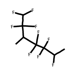 CC(F)C(F)(F)C(F)(F)C(C)C(F)(F)[C](F)F